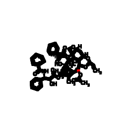 C=CC1O[C@H]2C[C@H]3OC[C@@]3(OC(C)=O)[C@H]3[C@H](OC(=O)c4ccccc4)[C@]4(O)C[C@H](OC(=O)[C@H](O)[C@@H](NC(=O)c5ccccc5)c5ccccc5)C(C)=C([C@H](OC(C)=O)[C@H](O1)[C@]23C)C4(C)C